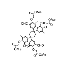 COC(=O)COc1c(C)cc(C2(c3cc(C)c(OCC(=O)OC)c(C=O)c3)CCC(c3cc(C)c(OCC(=O)OC)c(C=O)c3)(c3cc(C)c(OCC(=O)OC)c(C=O)c3)CC2)cc1C=O